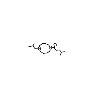 CC(C)CCC(=O)N1CCCCN(CC(C)C)CCCC1